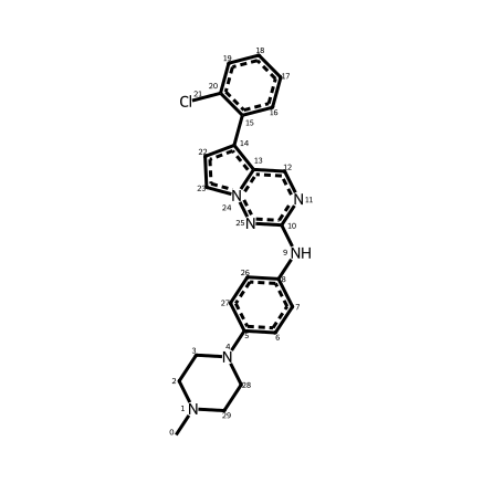 CN1CCN(c2ccc(Nc3ncc4c(-c5ccccc5Cl)ccn4n3)cc2)CC1